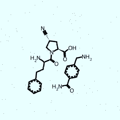 N#C[C@@H]1C[C@@H](C(=O)O)N(C(=O)C(N)CCc2ccccc2)C1.NCc1ccc(C(N)=O)cc1